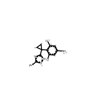 CC(C)c1nc(C2(c3c(Cl)cc(N)cc3Cl)CC2)no1